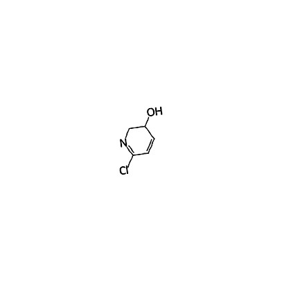 OC1C=CC(Cl)=NC1